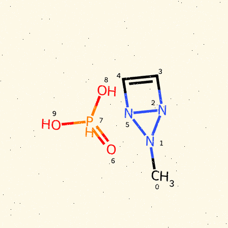 Cn1n2ccn12.O=[PH](O)O